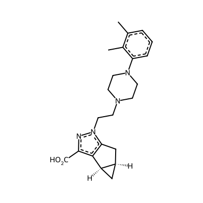 Cc1cccc(N2CCN(CCn3nc(C(=O)O)c4c3C[C@H]3C[C@@H]43)CC2)c1C